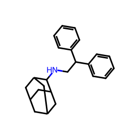 c1ccc(C(CNC2C3CC4CC(C3)CC2C4)c2ccccc2)cc1